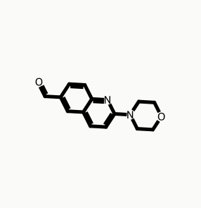 O=Cc1ccc2nc(N3CCOCC3)ccc2c1